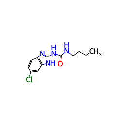 CCCCNC(=O)Nc1nc2ccc(Cl)cc2[nH]1